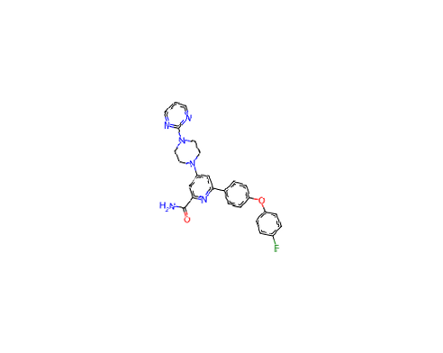 NC(=O)c1cc(N2CCN(c3ncccn3)CC2)cc(-c2ccc(Oc3ccc(F)cc3)cc2)n1